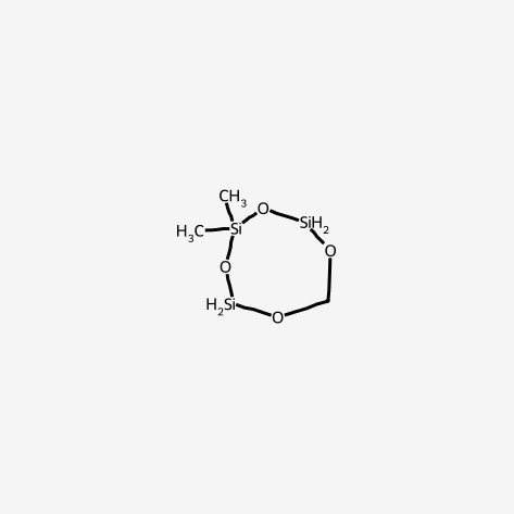 C[Si]1(C)O[SiH2]OCO[SiH2]O1